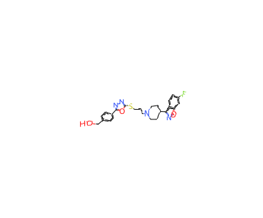 OCc1ccc(-c2nnc(SCCCN3CCC(c4noc5cc(F)ccc45)CC3)o2)cc1